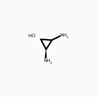 Cl.NC1C[C@@H]1N